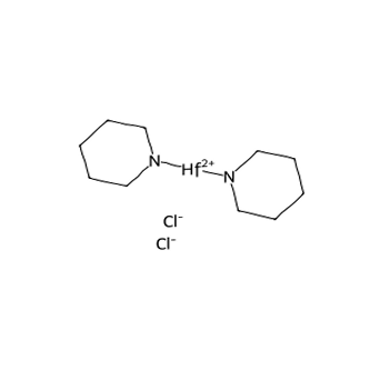 C1CC[N]([Hf+2][N]2CCCCC2)CC1.[Cl-].[Cl-]